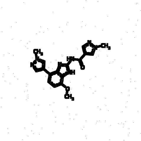 COc1ccc(-c2cnn(C)c2)c2nc(NC(=O)c3cnn(C)c3)[nH]c12